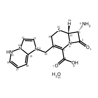 N[C@@H]1C(=O)N2C(C(=O)O)=C(CN3C=CN4NC=CC=C34)CS[C@H]12.O